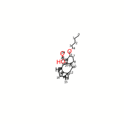 CCCCCOC1CC[C@@]2(C)CC[C@H]3[C@H](C)CC[C@@H](C[C@]2(O)[C@@H]1C=O)C3(C)C